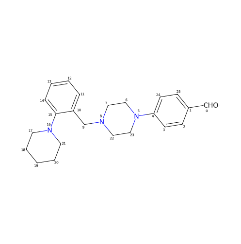 O=[C]c1ccc(N2CCN(Cc3ccccc3N3CCCCC3)CC2)cc1